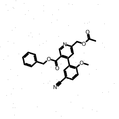 COc1ccc(C#N)cc1-c1cc(COC(C)=O)ncc1C(=O)OCc1ccccc1